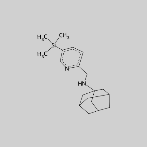 C[Si](C)(C)c1ccc(CNC23CC4CC(CC(C4)C2)C3)nc1